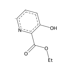 CCOC(=O)c1n[c]ccc1O